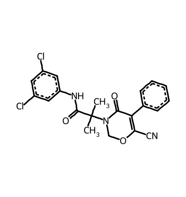 CC(C)(C(=O)Nc1cc(Cl)cc(Cl)c1)N1COC(C#N)=C(c2ccccc2)C1=O